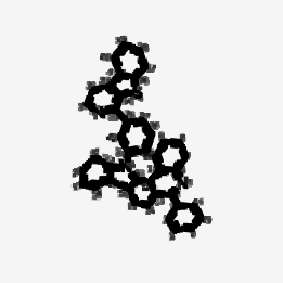 c1ccc(-c2nc3ccccc3c3c2ccc2c4ccccc4n(-c4cccc(-c5nccc6c5sc5ccccc56)c4)c23)cc1